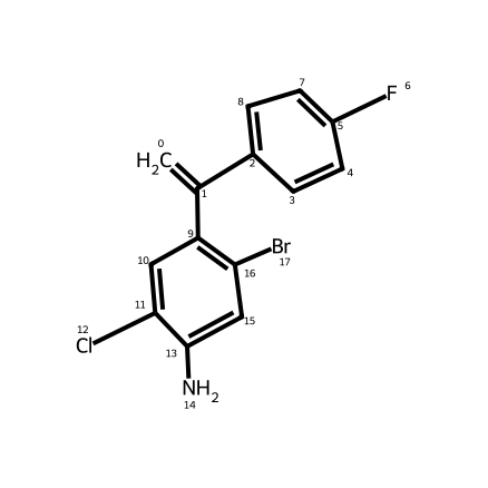 C=C(c1ccc(F)cc1)c1cc(Cl)c(N)cc1Br